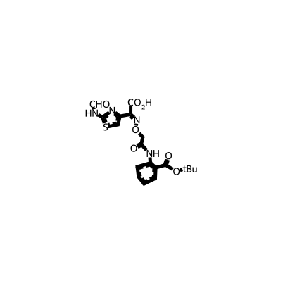 CC(C)(C)OC(=O)c1ccccc1NC(=O)CO/N=C(/C(=O)O)c1csc(NC=O)n1